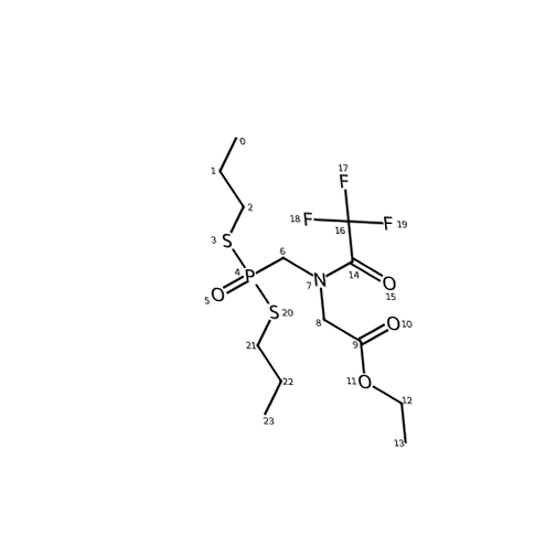 CCCSP(=O)(CN(CC(=O)OCC)C(=O)C(F)(F)F)SCCC